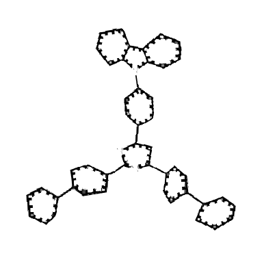 c1ccc(-c2ccc(-c3cc(-c4ccc(-n5c6ccccc6c6ccccc65)cc4)nc(-c4ccc(-c5ccccc5)cc4)n3)cc2)cc1